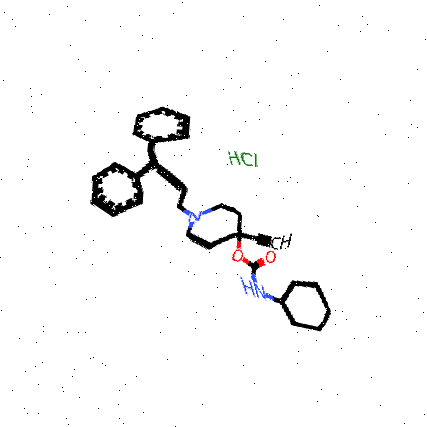 C#CC1(OC(=O)NC2CCCCC2)CCN(CC=C(c2ccccc2)c2ccccc2)CC1.Cl